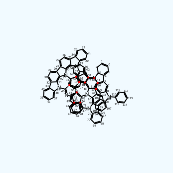 C1=CCC2C(=C1)c1cc3c(cc1N2c1cccc(-n2c4ccccc4c4ccc5c6ccc7c8ccccc8n(-c8nc(-c9ccccc9)nc(-n9c%10ccccc%10c%10ccc%11c%12ccc%13c%14ccccc%14n(-c%14ccccc%14)c%13c%12n(-c%12ccccc%12)c%11c%109)n8)c7c6n(-c6ccccc6)c5c42)c1)c1ccccc1n3-c1ccccc1